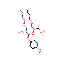 CCCCOCC(O[C@H](Oc1ccc(OC)cc1)[C@H](O)COCCCC)[C@H](C)O